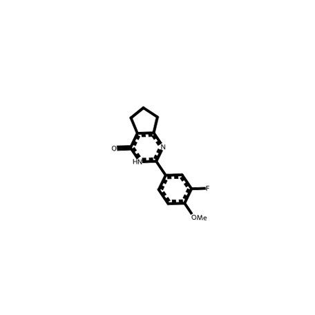 COc1ccc(-c2nc3c(c(=O)[nH]2)CCC3)cc1F